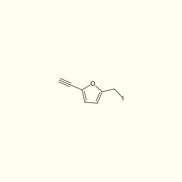 C#Cc1ccc(CI)o1